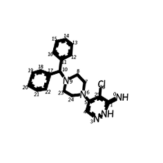 N=c1[nH]ncc(N2CCN(C(c3ccccc3)c3ccccc3)CC2)c1Cl